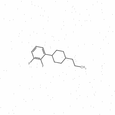 CCCC1CCC(c2c[c]cc(F)c2F)CC1